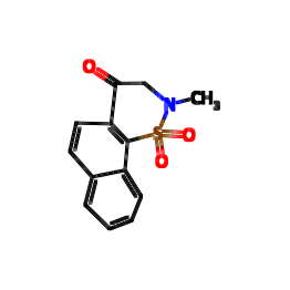 CN1CC(=O)c2ccc3ccccc3c2S1(=O)=O